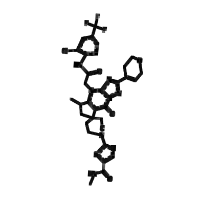 CNC(=O)c1cnc(N2CCC3(CC2)CC(C)c2c3c(=O)n3nc(C4=CCOCC4)nc3n2CC(=O)Nc2ccc(C(F)(F)F)cc2Cl)s1